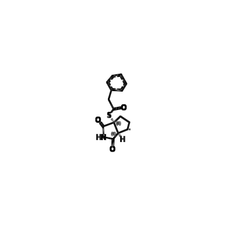 O=C(Cc1ccccc1)S[C@]12CC[CH][C@H]1C(=O)NC2=O